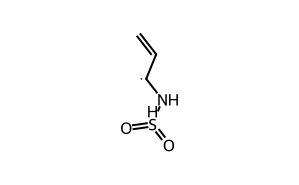 C=C[CH]N[SH](=O)=O